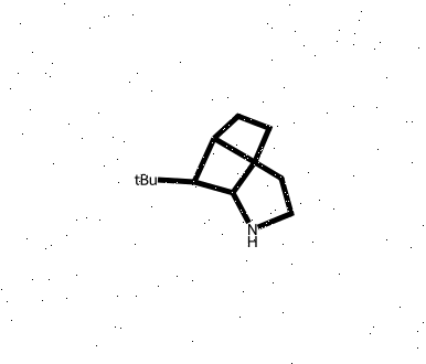 CC(C)(C)C1C2CCC23CCNC13